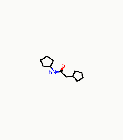 O=C(CC1CCCC1)NC1CCCC1